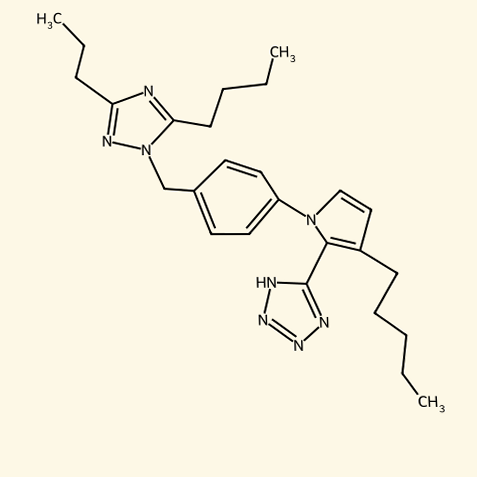 CCCCCc1ccn(-c2ccc(Cn3nc(CCC)nc3CCCC)cc2)c1-c1nnn[nH]1